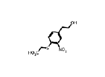 O=C(O)CSc1ccc(CCO)cc1[N+](=O)[O-]